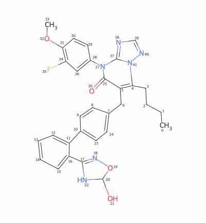 CCCCc1c(Cc2ccc(-c3ccccc3C3=NOC(O)N3)cc2)c(=O)n(-c2ccc(OC)c(F)c2)c2ncnn12